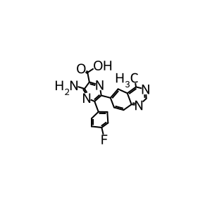 Cc1ncnc2ccc(-c3nc(C(=O)O)c(N)nc3-c3ccc(F)cc3)cc12